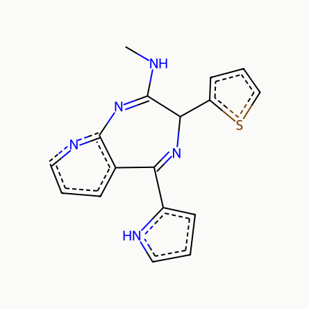 CNC1=Nc2ncccc2C(c2ccc[nH]2)=NC1c1cccs1